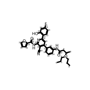 CCCN(CCC)C(C)CC(=O)Nc1cccc(-c2cc(-c3ccc(F)cc3O)nc(NC(=O)c3ccco3)c2C#N)c1